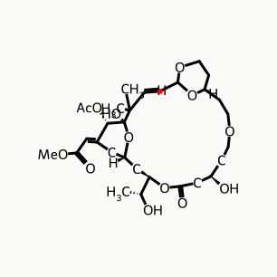 COC(=O)/C=C1\C[C@H]2C[C@H]([C@@H](C)O)OC(=O)C[C@H](O)CCOCC[C@@H]3CCO[C@H](/C=C/C(C)(C)[C@](O)(O2)[C@H]1OC(C)=O)O3